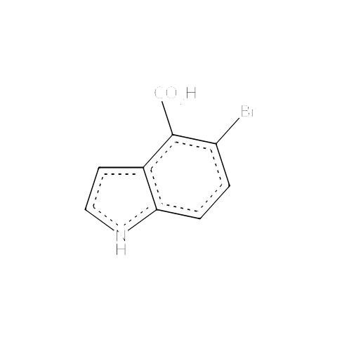 O=C(O)c1c(Br)ccc2[nH]ccc12